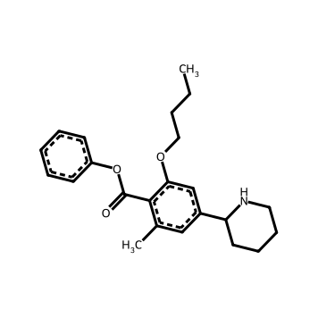 CCCCOc1cc(C2CCCCN2)cc(C)c1C(=O)Oc1ccccc1